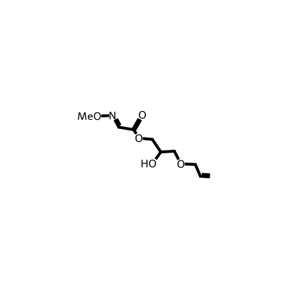 C=CCOCC(O)COC(=O)/C=N/OC